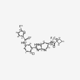 O=C(Nc1ccc(Cl)c(-c2nc3ncc(NC(=O)C4(C(F)(F)F)CCC4)cc3[nH]2)c1)c1ccc(F)o1